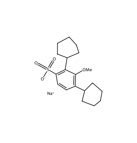 COc1c(C2CCCCC2)ccc(S(=O)(=O)[O-])c1C1CCCCC1.[Na+]